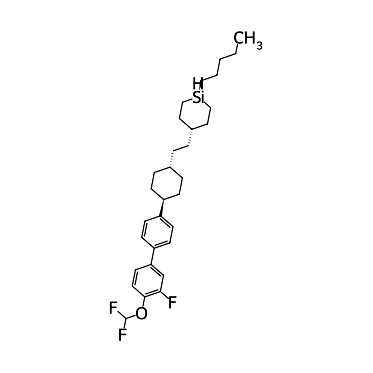 CCCCC[Si@H]1CC[C@H](CC[C@H]2CC[C@H](c3ccc(-c4ccc(OC(F)F)c(F)c4)cc3)CC2)CC1